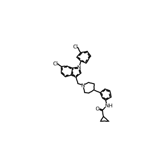 O=C(Nc1cccc(C2CCN(Cc3cn(-c4cccc(Cl)c4)c4cc(Cl)ccc34)CC2)c1)C1CC1